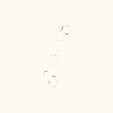 COc1ccccc1N1CCN(C2CCN(c3csc4ccccc34)CC2)CC1